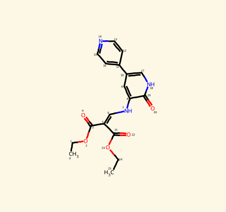 CCOC(=O)C(=CNc1cc(-c2ccncc2)c[nH]c1=O)C(=O)OCC